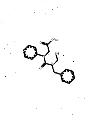 COC(=O)CN(C(=O)[C@@H](CS)Cc1ccccc1)c1ccccc1